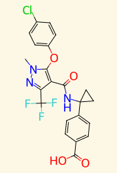 Cn1nc(C(F)(F)F)c(C(=O)NC2(c3ccc(C(=O)O)cc3)CC2)c1Oc1ccc(Cl)cc1